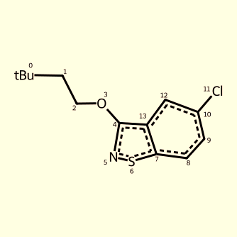 CC(C)(C)CCOc1nsc2ccc(Cl)cc12